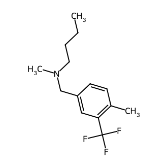 CCCCN(C)Cc1ccc(C)c(C(F)(F)F)c1